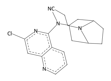 CN(c1nc(Cl)cc2ncccc12)C1CC2CCC(C1)N2CCC#N